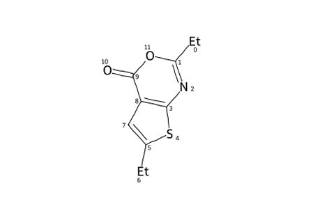 CCc1nc2sc(CC)cc2c(=O)o1